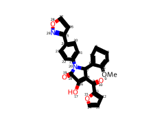 COc1ccccc1C1C(C(=O)c2ccco2)=C(O)C(=O)N1c1ccc(-c2ccon2)cc1